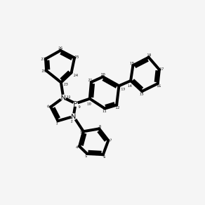 C1=CN(c2ccccc2)P(c2ccc(-c3ccccc3)cc2)N1c1ccccc1